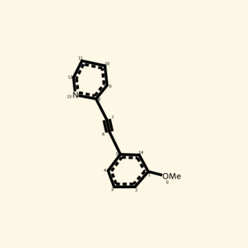 COc1cccc(C#Cc2ccc[c]n2)c1